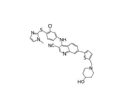 Cn1ccnc1Sc1ccc(Nc2c(C#N)cnc3cc(-c4ccc(CN5CCC(O)CC5)s4)ccc23)cc1Cl